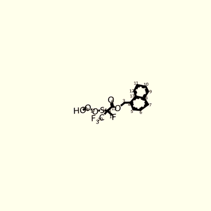 O=C(OCc1cccc2ccccc12)C(F)(SOOO)C(F)(F)F